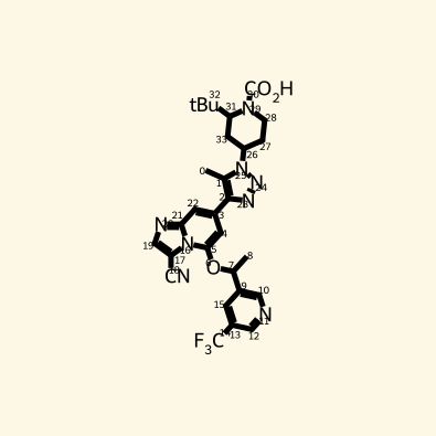 Cc1c(-c2cc(OC(C)c3cncc(C(F)(F)F)c3)n3c(C#N)cnc3c2)nnn1C1CCN(C(=O)O)C(C(C)(C)C)C1